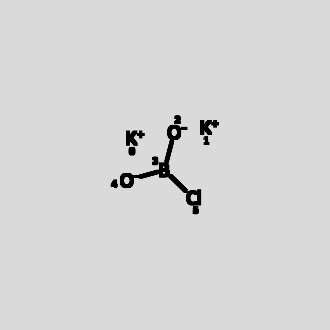 [K+].[K+].[O-]B([O-])Cl